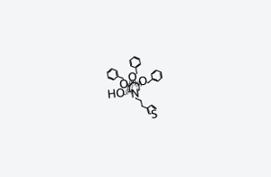 OC[C@@H]1[C@@H](OCc2ccccc2)[C@H](OCc2ccccc2)[C@@H](OCc2ccccc2)CN1CCCc1ccsc1